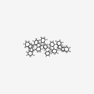 c1ccc([Si](c2ccccc2)(c2ccc([Si](c3ccccc3)(c3ccccc3)c3cccc(-n4c5ccccc5n5c6ccccc6nc45)c3)cc2)c2cccc(-n3c4ccccc4n4c5ccccc5nc34)c2)cc1